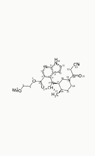 COCCOC(=O)c1cnc2[nH]ccc2c1N(C)[C@H]1CN(C(=O)CC#N)CC[C@H]1C